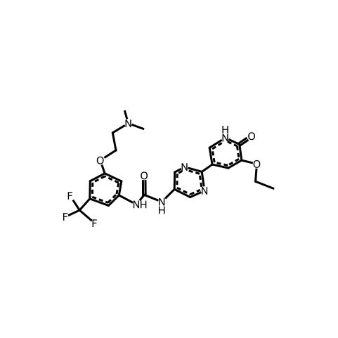 CCOc1cc(-c2ncc(NC(=O)Nc3cc(OCCN(C)C)cc(C(F)(F)F)c3)cn2)c[nH]c1=O